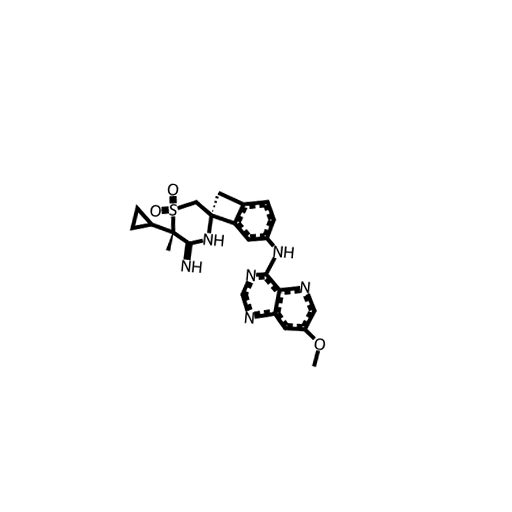 COc1cnc2c(Nc3ccc4c(c3)[C@]3(C4)CS(=O)(=O)[C@@](C)(C4CC4)C(=N)N3)ncnc2c1